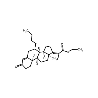 CCCC[C@@H]1CC2=CC(=O)CC[C@]2(C)[C@H]2CC[C@]3(C)C(=C(F)C(=O)OCC)CC[C@H]3[C@H]12